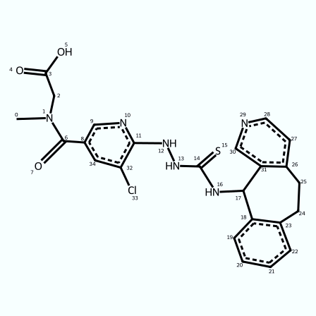 CN(CC(=O)O)C(=O)c1cnc(NNC(=S)NC2c3ccccc3CCc3ccncc32)c(Cl)c1